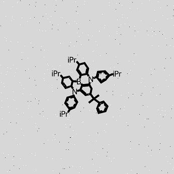 CC(C)c1ccc(N2C3=CCC(C(C)C)C=C3B3C4=C2CC(C(C)(C)c2ccccc2)C=C4N(c2ccc(C(C)C)cc2)C2C=CC(C(C)C)CC32)cc1